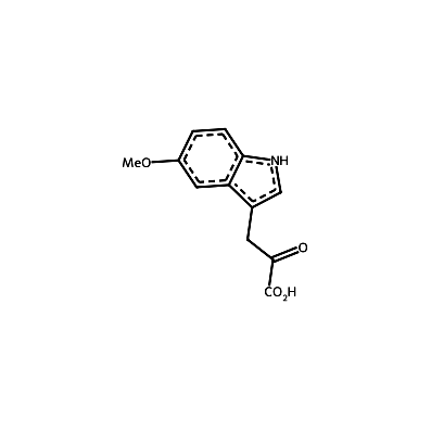 COc1ccc2[nH]cc(CC(=O)C(=O)O)c2c1